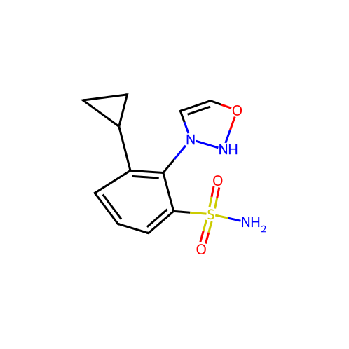 NS(=O)(=O)c1cccc(C2CC2)c1N1C=CON1